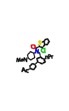 CCCc1ccc(-c2ccc(C(C)=O)cc2)cc1CN(C(=O)c1sc2ccccc2c1Cl)[C@H]1CC[C@H](NC)CC1